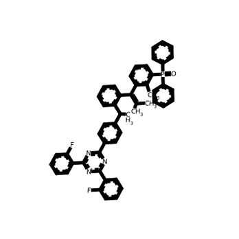 CC(C)=C(c1ccccc1C(C)c1ccc(-c2nc(-c3ccccc3F)nc(-c3ccccc3F)n2)cc1)c1cccc(P(=O)(c2ccccc2)c2ccccc2)c1C